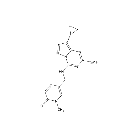 CSc1nc(NCc2ccc(=O)n(C)c2)n2ncc(C3CC3)c2n1